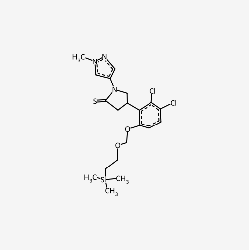 Cn1cc(N2CC(c3c(OCOCC[Si](C)(C)C)ccc(Cl)c3Cl)CC2=S)cn1